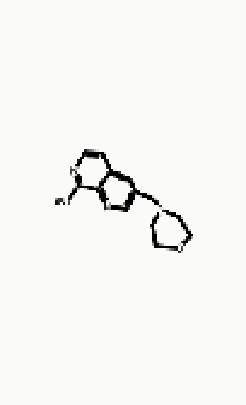 CC(C)(C)c1nccc2cc(CN3CCOCC3)cnc12